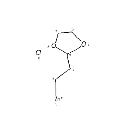 [Cl-].[Zn+][CH2]CC1OCCO1